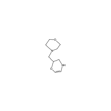 C1=COC(CN2CCOCC2)CN1